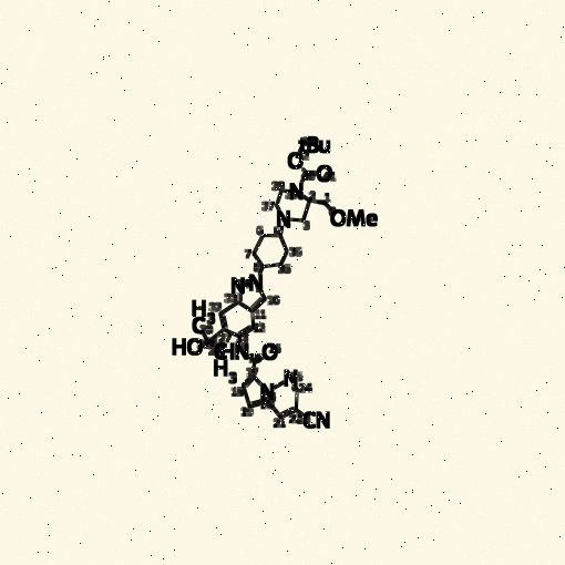 COC[C@H]1CN(C2CCC(n3cc4cc(NC(=O)c5ccc6cc(C#N)cnn56)c(C(C)(C)O)cc4n3)CC2)CCN1C(=O)OC(C)(C)C